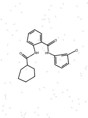 O=C(Nc1cccc(Cl)c1)c1ccccc1NC(=O)C1CCCCC1